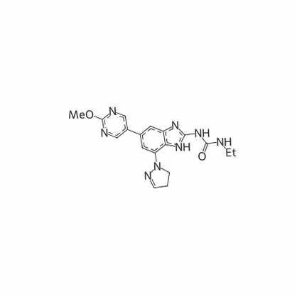 CCNC(=O)Nc1nc2cc(-c3cnc(OC)nc3)cc(N3CCC=N3)c2[nH]1